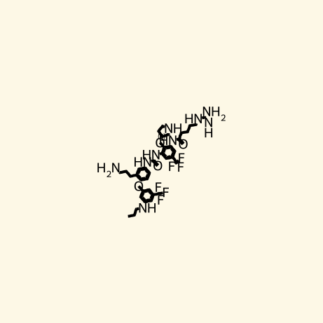 CCCNc1cc(Oc2ccc(NC(=O)Nc3cc(C(F)(F)F)cc(NC(=O)CCCCNC(=N)N)c3O[C@@H]3CCNC3)cc2CCCN)cc(C(F)(F)F)c1